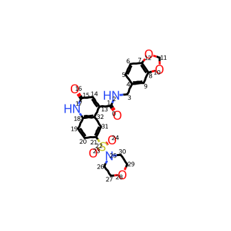 O=C(NCc1ccc2c(c1)OCO2)c1cc(=O)[nH]c2ccc(S(=O)(=O)N3CCOCC3)cc12